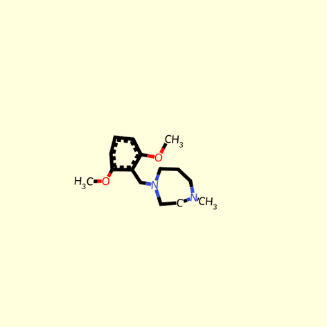 COc1cccc(OC)c1CN1CCCN(C)CC1